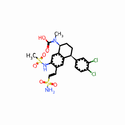 CN(C(=O)O)[C@H]1CC[C@@H](c2ccc(Cl)c(Cl)c2)c2cc(/C=C/S(N)(=O)=O)c(NS(C)(=O)=O)cc21